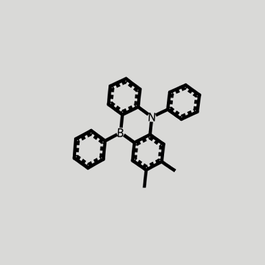 Cc1cc2c(cc1C)N(c1ccccc1)c1ccccc1B2c1ccccc1